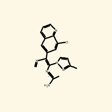 C=N/C(=C(\N=C(/C)N)n1ccc(C)n1)c1cc(Cl)c2ncccc2c1